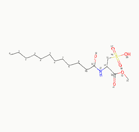 CCCCCCCCCCCC(=O)NC(CS(=O)(=O)O)C(=O)OC